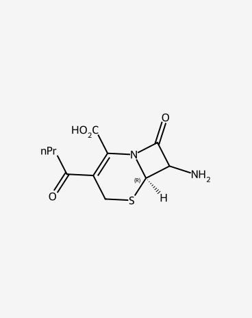 CCCC(=O)C1=C(C(=O)O)N2C(=O)C(N)[C@H]2SC1